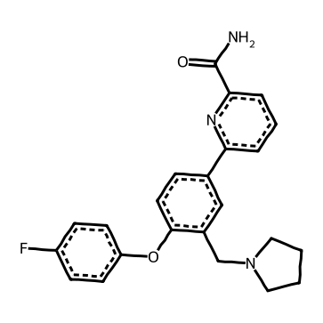 NC(=O)c1cccc(-c2ccc(Oc3ccc(F)cc3)c(CN3CCCC3)c2)n1